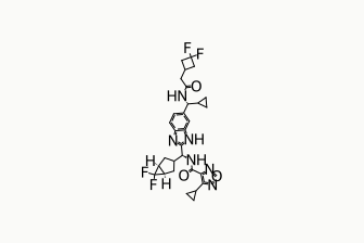 O=C(CC1CC(F)(F)C1)N[C@@H](c1ccc2nc([C@@H](NC(=O)c3nonc3C3CC3)C3C[C@@H]4[C@H](C3)C4(F)F)[nH]c2c1)C1CC1